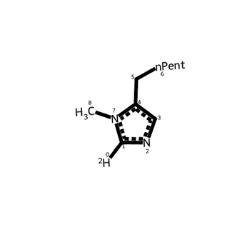 [2H]c1ncc(CCCCCC)n1C